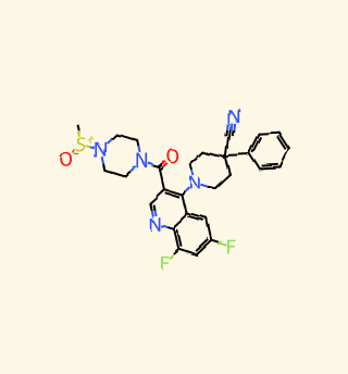 C[S+]([O-])N1CCN(C(=O)c2cnc3c(F)cc(F)cc3c2N2CCC(C#N)(c3ccccc3)CC2)CC1